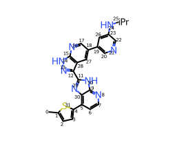 Cc1ccc(-c2ccnc3[nH]c(-c4n[nH]c5ncc(-c6cncc(NC(C)C)c6)cc45)nc23)s1